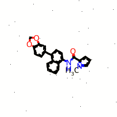 Cn1cccc1C(=O)Nc1ccc(-c2ccc3c(c2)OCO3)c2ccccc12